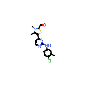 CC1=C(c2ccnc(Nc3ccc(Cl)c(C)c3)n2)SC(C=O)N1C